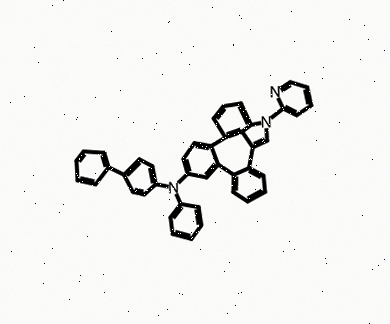 c1ccc(-c2ccc(N(c3ccccc3)c3ccc4c(c3)-c3ccccc3-c3cn(-c5ccccn5)c5cccc-4c35)cc2)cc1